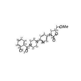 COC[C@@H]1CN(c2ccc(N3CCN(C(=O)c4ccccc4C(F)(F)F)CC3)nc2)C(=O)O1